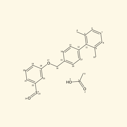 CC(=O)O.Cc1cccc(C)c1-c1ccc(COc2cccc([S+]=O)c2)cc1